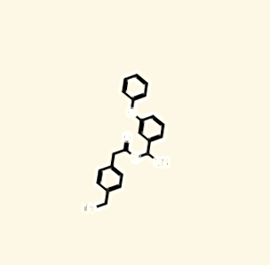 CC(C)Cc1ccc(CC(=O)OC(C#N)c2cccc(Oc3ccccc3)c2)cc1